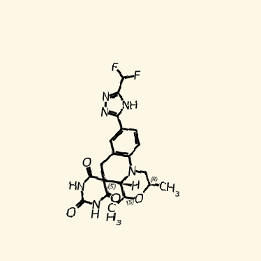 C[C@@H]1CN2c3ccc(-c4nnc(C(F)F)[nH]4)cc3CC3(C(=O)NC(=O)NC3=O)[C@H]2[C@H](C)O1